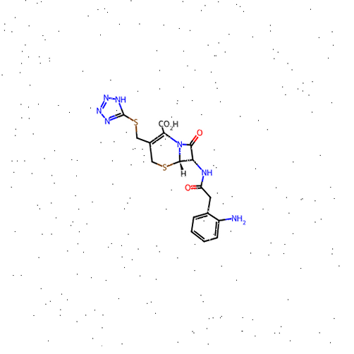 Nc1ccccc1CC(=O)NC1C(=O)N2C(C(=O)O)=C(CSc3nnn[nH]3)CS[C@@H]12